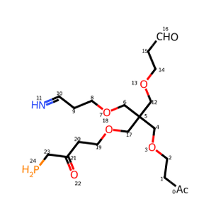 CC(=O)CCOCC(COCCC=N)(COCCC=O)COCCC(=O)CP